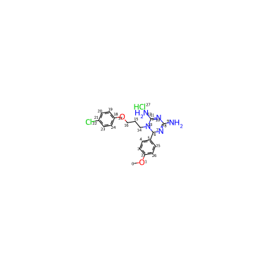 COc1ccc(C2N=C(N)N=C(N)N2CCCOc2ccc(Cl)cc2)cc1.Cl